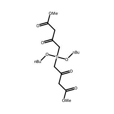 CCCC[O][Ti]([CH2]C(=O)CC(=O)OC)([CH2]C(=O)CC(=O)OC)[O]CCCC